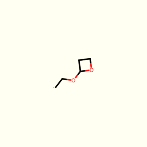 [CH2]COC1CCO1